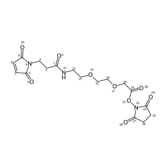 O=C(CCN1C(=O)C=CC1=O)NCCOCCOCC(=O)ON1C(=O)CCC1=O